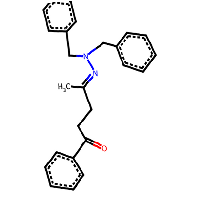 C/C(CCC(=O)c1ccccc1)=N\N(Cc1ccccc1)Cc1ccccc1